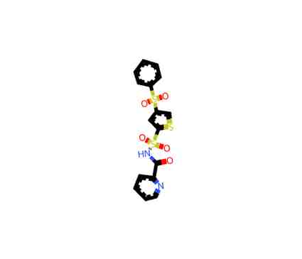 O=C(NS(=O)(=O)c1cc(S(=O)(=O)c2ccccc2)cs1)c1ccccn1